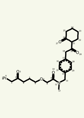 CC(C)CC(=O)CCCOCC(=O)N(C)Cc1ccc(CC(=O)C2CCCCC2=O)cc1